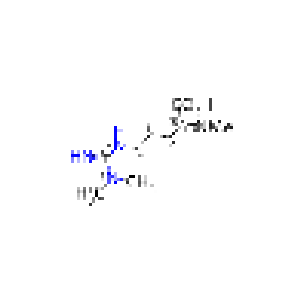 CN[C@@H](CCCNC(=N)N(C)C)C(=O)O